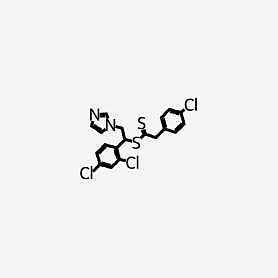 S=C(Cc1ccc(Cl)cc1)SC(Cn1ccnc1)c1ccc(Cl)cc1Cl